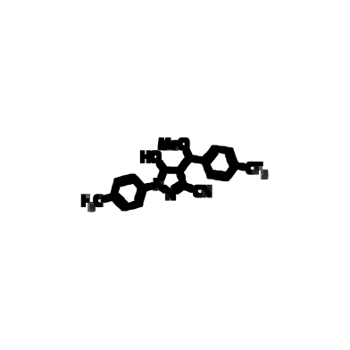 COC(c1ccc(C(F)(F)F)cc1)C1C(C#N)=NN(c2ccc(C(F)(F)F)cc2)C1O